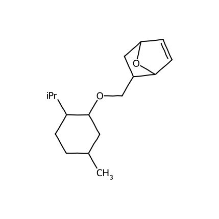 CC1CCC(C(C)C)C(OCC2CC3C=CC2O3)C1